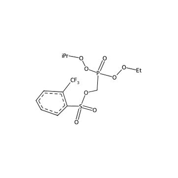 CCOOP(=O)(COS(=O)(=O)c1ccccc1C(F)(F)F)OOC(C)C